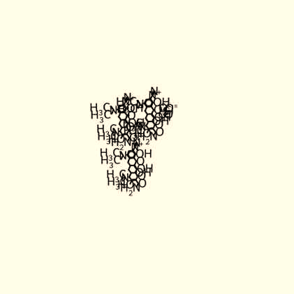 CCN(CC)c1cc([N+]#N)c(O)c2c1CC1CC3C(N(C)C)C(O)=C(C(N)=O)C(=O)C3(O)C(O)=C1C2=O.CCN(CC)c1cc([N+]#N)c(O)c2c1CC1CC3C(N(C)C)C(O)=C(C(N)=O)C(=O)C3(O)C(O)=C1C2=O.CCN(CC)c1cc([N+]#N)c(O)c2c1CC1CC3C(N(C)C)C(O)=C(C(N)=O)C(=O)C3(O)C(O)=C1C2=O.O=S(=O)([O-])[O-].[Cl-]